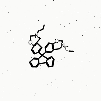 CCCN1COc2ccc(C3(c4ccc5c(c4)CN(CCC)CO5)c4ccccc4-c4ccccc43)cc2C1